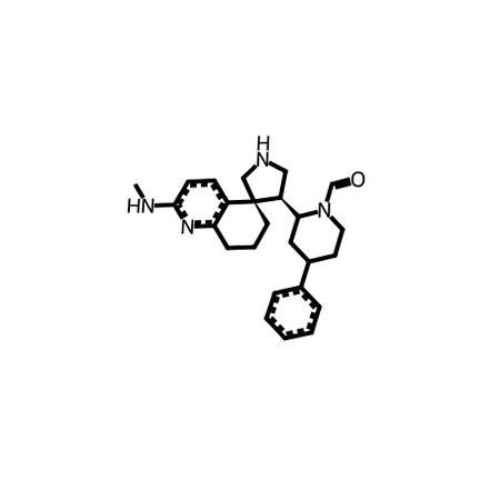 CNc1ccc2c(n1)CCC[C@]21CNC[C@H]1C1CC(c2ccccc2)CCN1C=O